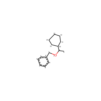 CC(OCc1ccccc1)C1CCCCC1